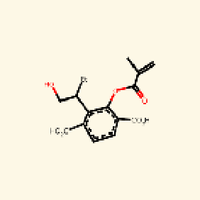 C=C(C)C(=O)Oc1c(C(=O)O)ccc(C(=O)O)c1C(CC)CO